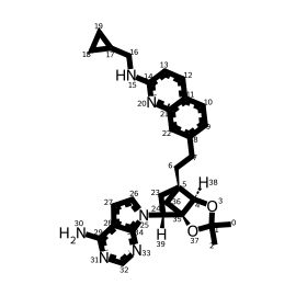 CC1(C)O[C@@H]2[C@@]3(CCc4ccc5ccc(NCC6CC6)nc5c4)C[C@@H](n4ccc5c(N)ncnc54)[C@@]2(C3)O1